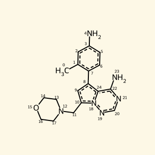 Cc1cc(N)ccc1-c1cc(CN2CCOCC2)n2ncnc(N)c12